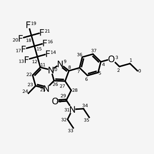 CCCOc1ccc(-c2nn3c(C(F)(F)C(F)(F)C(F)(F)F)cc(C)nc3c2CC(=O)N(CC)CC)cc1